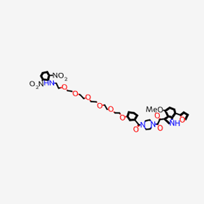 COc1ccc(-c2ccco2)c2[nH]cc(C(=O)C(=O)N3CCN(C(=O)c4cccc(OCCOCCOCCOCCOCCOCCNc5c([N+](=O)[O-])cccc5[N+](=O)[O-])c4)CC3)c12